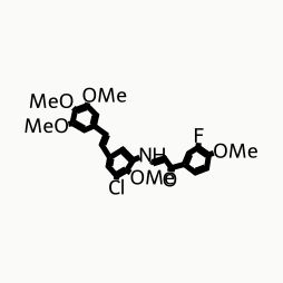 COc1ccc(C(=O)C=CNc2cc(C=Cc3cc(OC)c(OC)c(OC)c3)cc(Cl)c2OC)cc1F